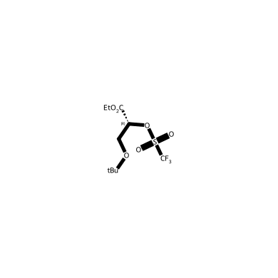 CCOC(=O)[C@@H](COC(C)(C)C)OS(=O)(=O)C(F)(F)F